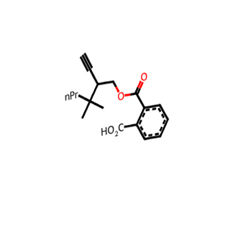 C#CC(COC(=O)c1ccccc1C(=O)O)C(C)(C)CCC